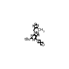 Cc1nonc1Cn1nnc2c(N3CC4(COC4)C3)nc(C(C)(C)C)nc21